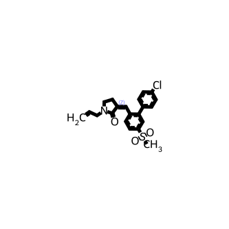 C=CCN1CC/C(=C/c2ccc(S(C)(=O)=O)cc2-c2ccc(Cl)cc2)C1=O